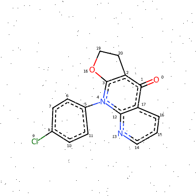 O=c1c2c(n(-c3ccc(Cl)cc3)c3ncccc13)OCC2